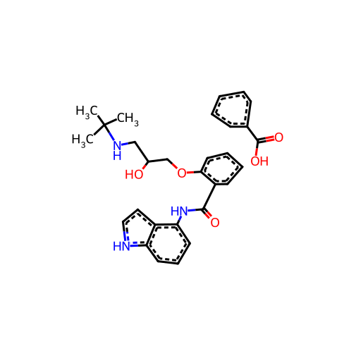 CC(C)(C)NCC(O)COc1ccccc1C(=O)Nc1cccc2[nH]ccc12.O=C(O)c1ccccc1